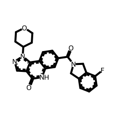 O=C(c1ccc2c(c1)[nH]c(=O)c1cnn(C3CCOCC3)c12)N1Cc2cccc(F)c2C1